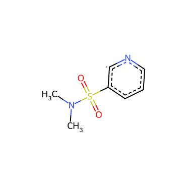 CN(C)S(=O)(=O)c1[c]nccc1